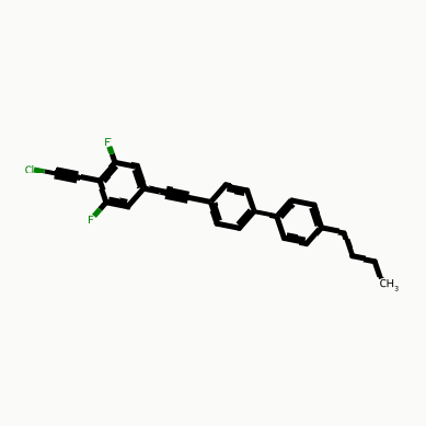 CCCCc1ccc(-c2ccc(C#Cc3cc(F)c(C#CCl)c(F)c3)cc2)cc1